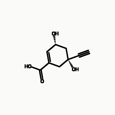 C#C[C@@]1(O)CC(C(=O)O)=C[C@H](O)C1